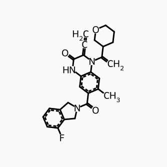 C=C=C1C(=O)Nc2cc(C(=O)N3Cc4cccc(F)c4C3)c(C)cc2N1C(=C)C1CCCOC1